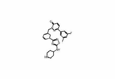 O=c1ccc(-c2cc(F)cc(F)c2)nn1CC1=CC=CC(c2noc(NC3CCNCC3)n2)C1